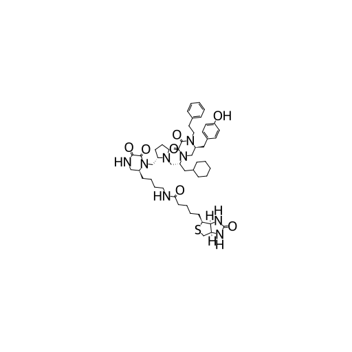 O=C(CCCC[C@@H]1SC[C@@H]2NC(=O)N[C@@H]21)NCCCC[C@H]1CNC(=O)C(=O)N1C[C@@H]1CCCN1C[C@@H](CC1CCCCC1)N1C[C@H](Cc2ccc(O)cc2)N(CCc2ccccc2)C(=O)C1=O